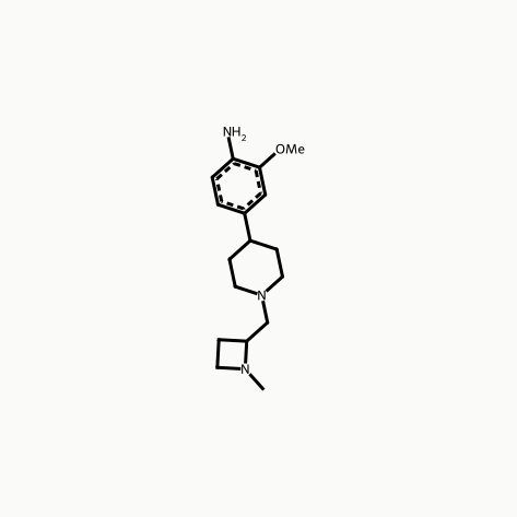 COc1cc(C2CCN(CC3CCN3C)CC2)ccc1N